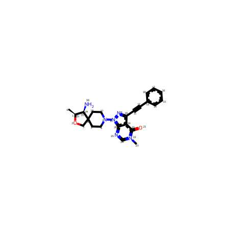 C[C@@H]1OCC2(CCN(n3nc(C#Cc4ccccc4)c4c(=O)n(C)cnc43)CC2)[C@@H]1N